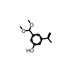 C=C(C)c1cc(O)cc(C(OC)OC)c1